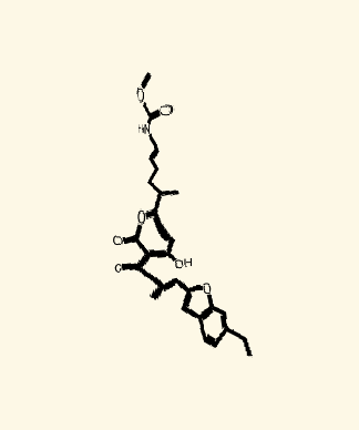 CCc1ccc2cc(/C=C(\C)C(=O)c3c(O)cc(C(C)CC/C=C/NC(=O)OC)oc3=O)oc2c1